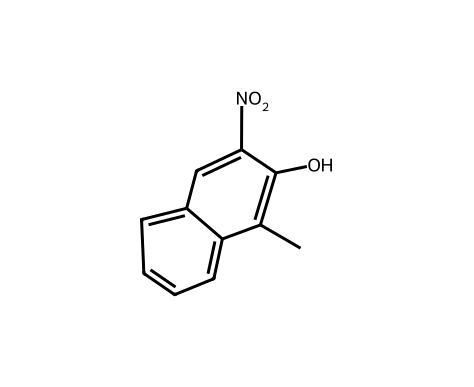 Cc1c(O)c([N+](=O)[O-])cc2ccccc12